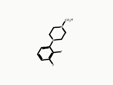 O=C(O)N1CCN(c2cccc(F)c2F)CC1